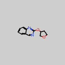 c1ccc2nc(OC3CCOC3)ncc2c1